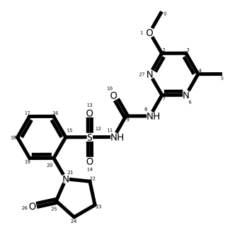 COc1cc(C)nc(NC(=O)NS(=O)(=O)c2ccccc2N2CCCC2=O)n1